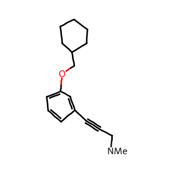 CNCC#Cc1cccc(OCC2CCCCC2)c1